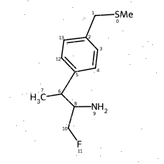 CSCc1ccc(C(C)C(N)CF)cc1